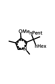 CCCCCCC(C)(CCCCC)c1c(OC)c(C)cn1C